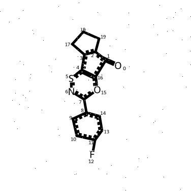 O=c1c2c(c3snc(-c4ccc(F)cc4)oc1=3)CCC2